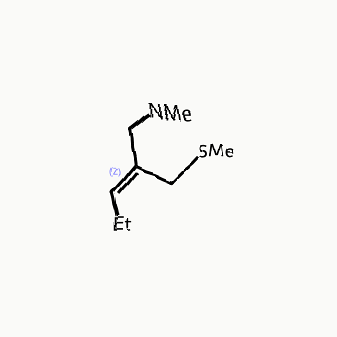 CC/C=C(/CNC)CSC